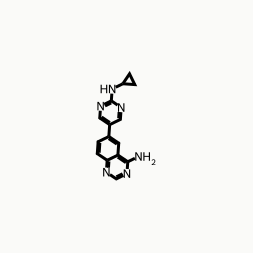 Nc1ncnc2ccc(-c3cnc(NC4CC4)nc3)cc12